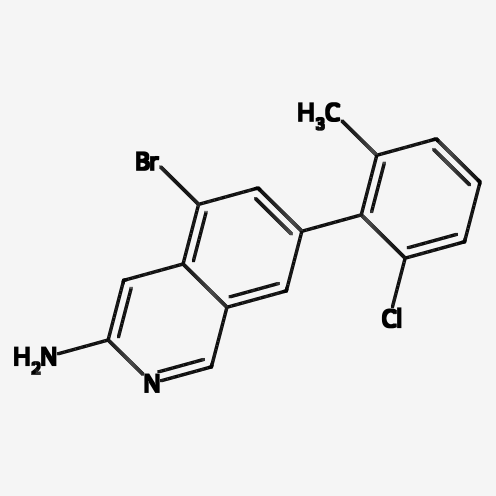 Cc1cccc(Cl)c1-c1cc(Br)c2cc(N)ncc2c1